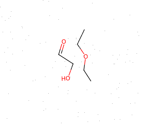 CCOCC.O=CCO